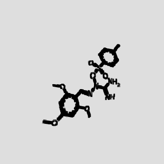 COc1cc(OC)c(C=NN(OS(=O)(=O)c2ccc(C)cc2)C(=N)N)c(OC)c1